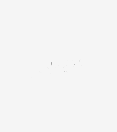 Cc1nn2c(O)c(C(=O)NC3CC3)c(=O)n(CC(C)C)c2c1/C=C/C(=O)N1CCN(C2CC(F)(F)C2)C[C@H]1C